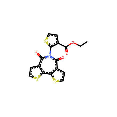 CCOC(=O)c1ccsc1-n1c(=O)c2ccsc2c2sccc2c1=O